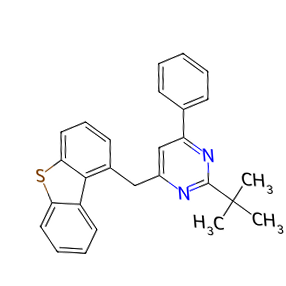 CC(C)(C)c1nc(Cc2cccc3sc4ccccc4c23)cc(-c2ccccc2)n1